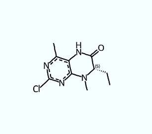 CC[C@H]1C(=O)Nc2c(C)nc(Cl)nc2N1C